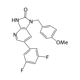 COc1ccc(Cn2c(=O)[nH]c3ncc(-c4cc(F)cc(F)c4)cc32)cc1